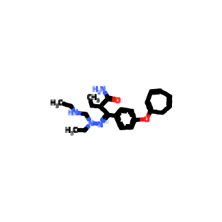 CCNCN(CC)/N=C(/c1ccc(OC2=CC=CC=CC2)cc1)C(CC)C(N)=O